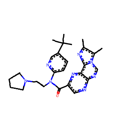 Cc1nc2c3nc(C(=O)N(CCN4CCCC4)c4ccc(C(C)(C)C)cn4)cnc3ncn2c1C